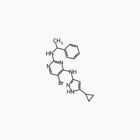 CC(Nc1ncc(Br)c(Nc2cc(C3CC3)[nH]n2)n1)c1ccccc1